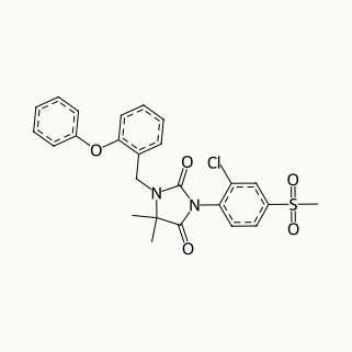 CC1(C)C(=O)N(c2ccc(S(C)(=O)=O)cc2Cl)C(=O)N1Cc1ccccc1Oc1ccccc1